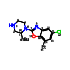 CCCC[C@H]1CNCCN1c1nc2cc(Cl)cc(CC)c2o1